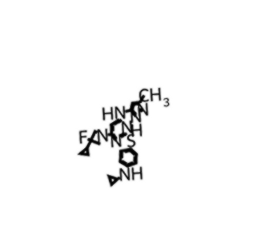 Cc1cc(Nc2cc(N3CC(F)(C4CC4)C3)nc(Sc3ccc(NC4CC4)cc3)n2)[nH]n1